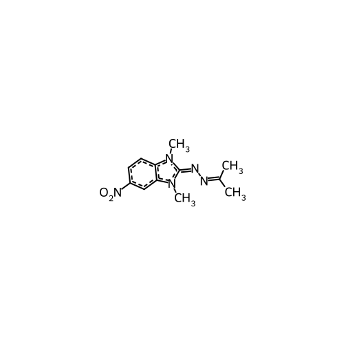 CC(C)=NN=c1n(C)c2ccc([N+](=O)[O-])cc2n1C